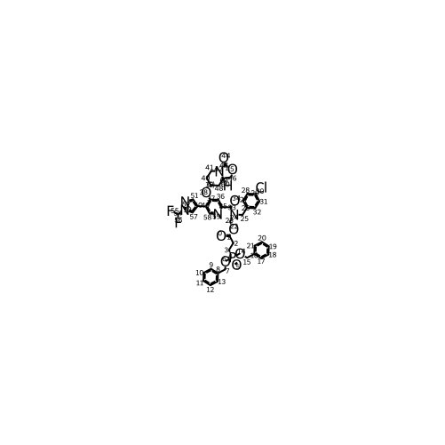 O=C(CCP(=O)(OCc1ccccc1)OCc1ccccc1)OCN(Cc1ccc(Cl)cc1)C(=O)c1cc(O[C@H]2CCN3C(=O)OC[C@@H]3C2)c(-c2cnn(C(F)F)c2)cn1